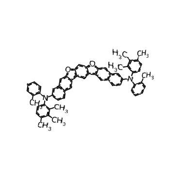 Cc1ccccc1N(c1ccc2cc3c(cc2c1)oc1cc2oc4cc5cc(N(c6ccccc6C)c6ccc(C)c(C)c6C)ccc5cc4c2cc13)c1ccc(C)c(C)c1C